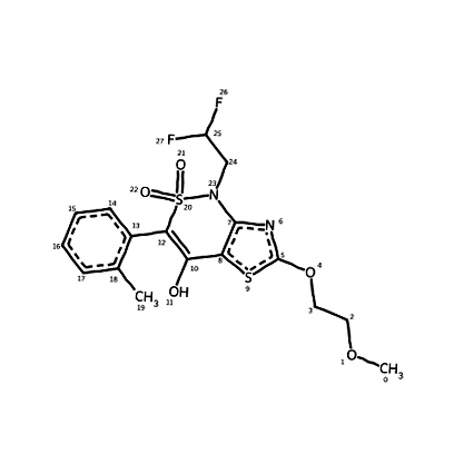 COCCOc1nc2c(s1)C(O)=C(c1ccccc1C)S(=O)(=O)N2CC(F)F